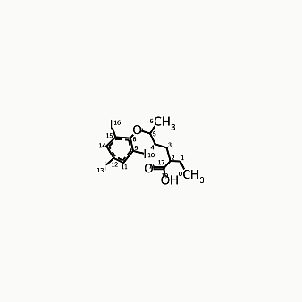 CCC(CCC(C)Oc1c(I)cc(I)cc1I)C(=O)O